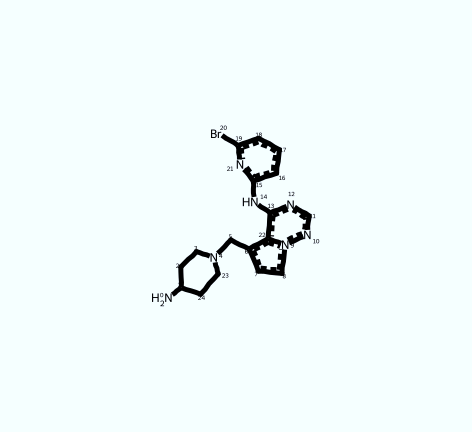 NC1CCN(Cc2ccn3ncnc(Nc4cccc(Br)n4)c23)CC1